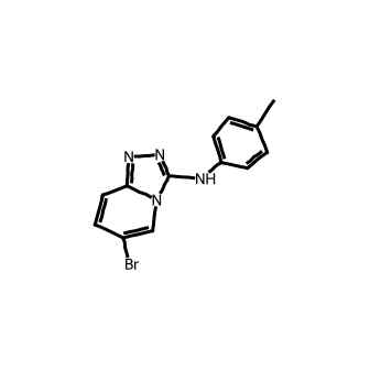 Cc1ccc(Nc2nnc3ccc(Br)cn23)cc1